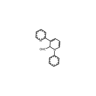 O=CC1C(c2ccccn2)=CC=CN1c1ccccc1